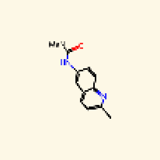 CNC(=O)Nc1ccc2nc(C)ccc2c1